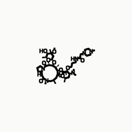 CO[C@]1(C)C[C@H](O[C@H]2[C@H](C)[C@@H](O[C@@H]3O[C@H](C)C[C@H](N(C)C)[C@H]3OCCCNC(=O)CN3CCN(C)CC3)[C@](C)(O)C[C@@H](C)CN(C)C(=O)C[C@@H]3CCCN3C(=O)[C@@H]2C)O[C@@H](C)[C@@H]1O